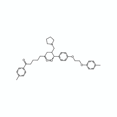 Cc1ccc(OCCOc2ccc([C@@H](O)C(CC(=O)CCCCC(=O)c3ccc(C)cc3)CN3CCCC3)cc2)cc1